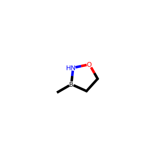 CB1CCON1